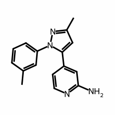 Cc1cccc(-n2nc(C)cc2-c2ccnc(N)c2)c1